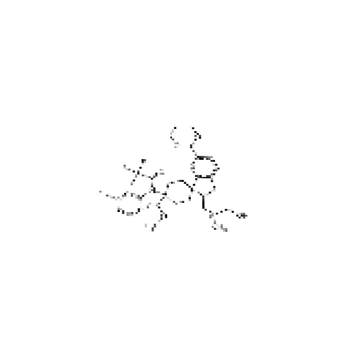 COC(=O)C1(N(C(=O)C(F)(F)F)c2cccc(Cl)c2)CCC2(CC1)c1cc(C3OCCCO3)ccc1CC2C[C@@H](C)CO